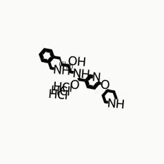 Cl.Cl.Cl.O=C(NC[C@@H](O)[C@@H]1Cc2ccccc2CN1)c1ccc(OC2CCNCC2)nc1